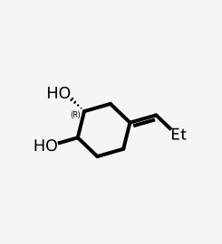 CCC=C1CCC(O)[C@H](O)C1